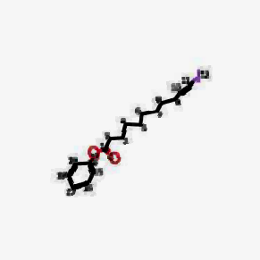 O=C(CCCCCCCCC=CI)Oc1ccccc1